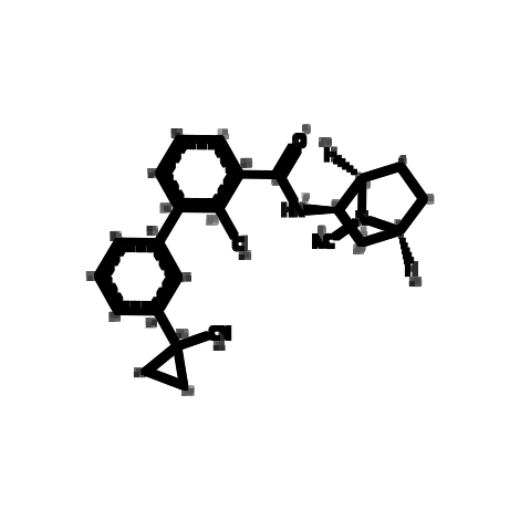 N#CN1[C@H]2CC[C@@H]1[C@H](NC(=O)c1cccc(-c3cccc(C4(C#N)CC4)c3)c1Cl)C2